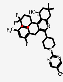 CC1(C)Cc2nc(C3CCN(c4ncc(C#N)cn4)CC3)c(Cc3ccc(C(F)(F)F)cc3F)c(C3CCC(F)(F)CC3)c2[C@@H](O)C1